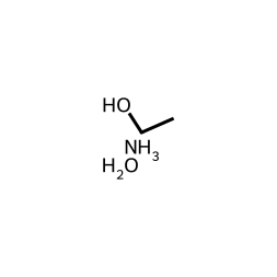 CCO.N.O